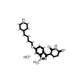 Cl.Cn1nc(C2CCC(=O)NC2=O)c2ccc(OCCCCC3CCNCC3)cc21